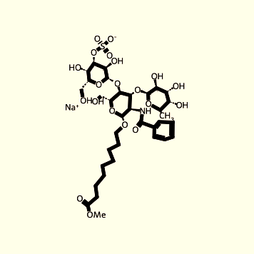 COC(=O)CCCCCCCCO[C@@H]1O[C@H](CO)[C@@H](O[C@@H]2O[C@H](CO)[C@H](O)[C@H](OS(=O)(=O)[O-])[C@H]2O)[C@H](O[C@@H]2O[C@@H](C)[C@@H](O)[C@@H](O)[C@@H]2O)[C@H]1NC(=O)c1ccccc1.[Na+]